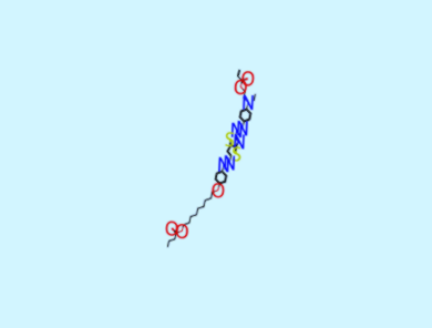 C=CC(=O)OCCN(CC)c1ccc(N=Nc2nc3sc(N=Nc4ccc(OCCCCCCCCCOC(=O)CCC)cc4)cc3s2)cc1